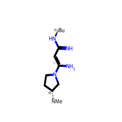 CC[C@H](C)NC(=N)/C=C(\N)N1CC[C@@H](NC)C1